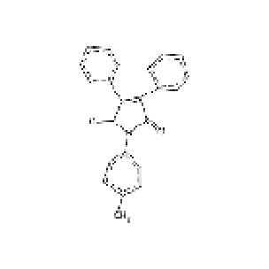 Cc1ccc(N2C(=O)C(c3ccccc3)=C(c3ccccc3)C2=O)cc1